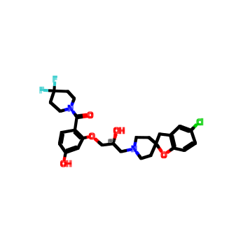 O=C(c1ccc(O)cc1OC[C@@H](O)CN1CCC2(CC1)Cc1cc(Cl)ccc1O2)N1CCC(F)(F)CC1